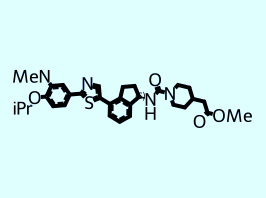 CNc1cc(-c2ncc(-c3cccc4c3CC[C@@H]4NC(=O)N3CCC(CC(=O)OC)CC3)s2)ccc1OC(C)C